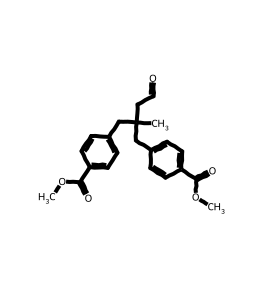 COC(=O)c1ccc(CC(C)(CC=O)Cc2ccc(C(=O)OC)cc2)cc1